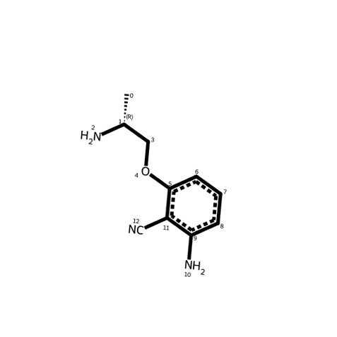 C[C@@H](N)COc1cccc(N)c1C#N